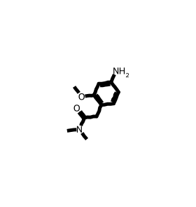 COc1cc(N)ccc1CC(=O)N(C)C